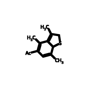 CC(=O)C1=C(C)C2=C(C)CSC2C(C)=C1